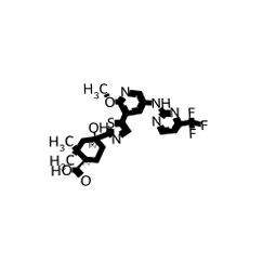 COc1ncc(Nc2nccc(C(F)(F)F)n2)cc1-c1cnc([C@@]2(O)CC[C@@H](C(=O)O)C(C)(C)C2)s1